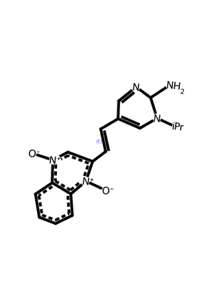 CC(C)N1C=C(/C=C/c2c[n+]([O-])c3ccccc3[n+]2[O-])C=NC1N